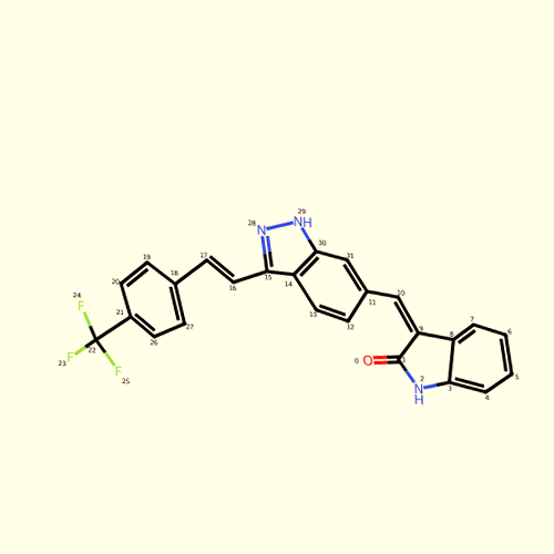 O=C1Nc2ccccc2C1=Cc1ccc2c(C=Cc3ccc(C(F)(F)F)cc3)n[nH]c2c1